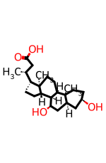 C[C@H](CC(=O)O)[C@H]1CC[C@H]2[C@@H]3[C@H](O)C[C@@H]4C[C@H](O)CC[C@]4(C)[C@H]3CC[C@]12C